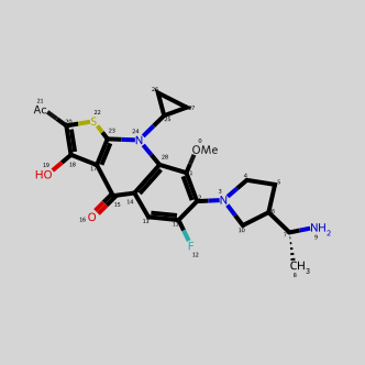 COc1c(N2CCC([C@@H](C)N)C2)c(F)cc2c(=O)c3c(O)c(C(C)=O)sc3n(C3CC3)c12